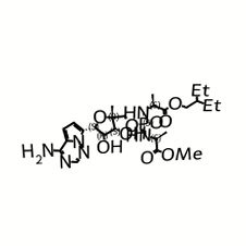 CCC(CC)COC(=O)[C@H](C)N[P@](=O)(N[C@@H](C)C(=O)OC)OC[C@@]1(C)O[C@@H](c2ccc3c(N)ncnn23)[C@H](O)[C@@H]1O